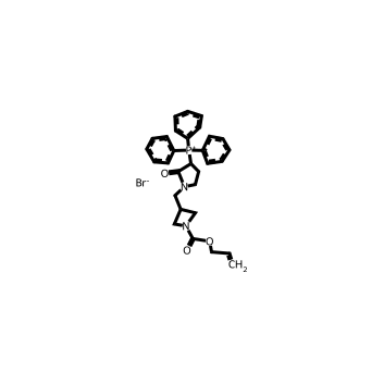 C=CCOC(=O)N1CC(CN2CCC([P+](c3ccccc3)(c3ccccc3)c3ccccc3)C2=O)C1.[Br-]